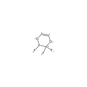 FC1OC=COC1(F)F